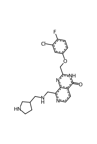 O=c1[nH]c(COc2ccc(F)c(Cl)c2)nc2c(CNCC3CCNC3)nccc12